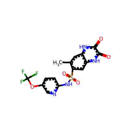 Cc1cc2[nH]c(=O)c(=O)[nH]c2cc1S(=O)(=O)Nc1ccc(OC(F)(F)F)cn1